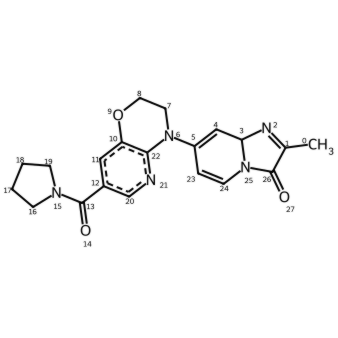 CC1=NC2C=C(N3CCOc4cc(C(=O)N5CCCC5)cnc43)C=CN2C1=O